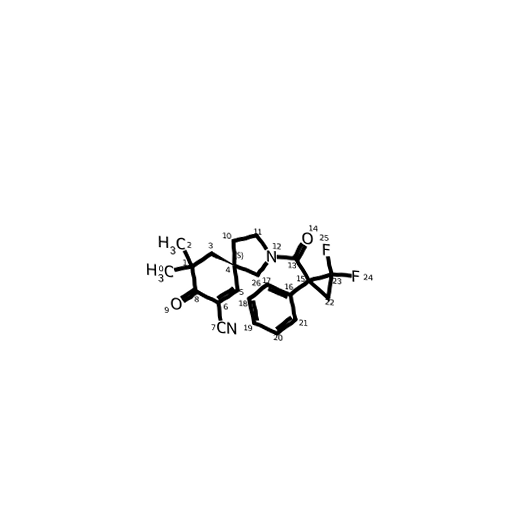 CC1(C)C[C@@]2(C=C(C#N)C1=O)CCN(C(=O)C1(c3ccccc3)CC1(F)F)C2